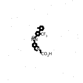 Cc1ccccc1-c1ccc(-c2nc(-c3ccc4c(c3)CN(CCC(=O)O)CC4)no2)cc1C(F)(F)F